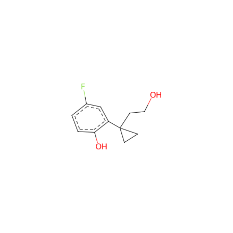 OCCC1(c2cc(F)ccc2O)CC1